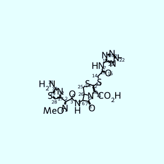 CON=C(C(=O)NC1C(=O)N2C(C(=O)O)=C(SCC(=O)Nc3nnn(C)n3)SCC12)c1csc(N)n1